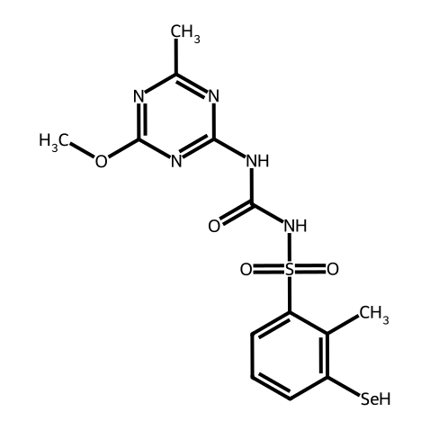 COc1nc(C)nc(NC(=O)NS(=O)(=O)c2cccc([SeH])c2C)n1